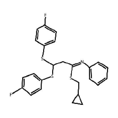 Fc1ccc(SC(CC(=Nc2ccccc2)SCC2CC2)Sc2ccc(F)cc2)cc1